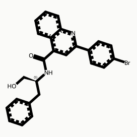 O=C(N[C@H](CO)Cc1ccccc1)c1cc(-c2ccc(Br)cc2)nc2ccccc12